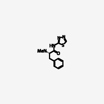 CN[C@@H](Cc1ccccc1)C(=O)Nc1nncs1